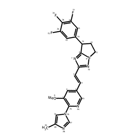 COc1cc(/C=C/c2nc3n(n2)CCC3c2cc(F)c(F)c(F)c2)cnc1-n1cnc(C)c1